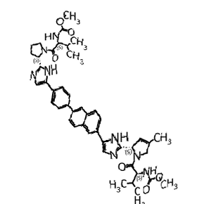 COC(=O)N[C@H](C(=O)N1CC(C)=C[C@H]1c1ncc(-c2ccc3cc(-c4ccc(-c5cnc([C@@H]6CCCN6C(=O)[C@@H](NC(=O)OC)C(C)C)[nH]5)cc4)ccc3c2)[nH]1)C(C)C